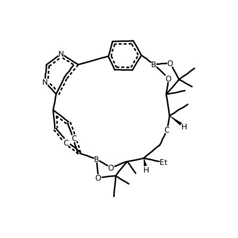 CC[C@H]1CC[C@@H](C)C2(C)OB(OC2(C)C)c2ccc(cc2)-c2cc(ncn2)-c2ccc(cc2)B2OC(C)(C)C1(C)O2